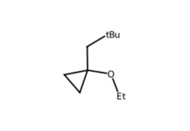 CCOC1(CC(C)(C)C)CC1